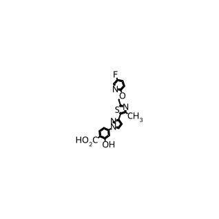 Cc1nc(COc2ccc(F)cn2)sc1-c1ccn(-c2ccc(C(=O)O)c(O)c2)n1